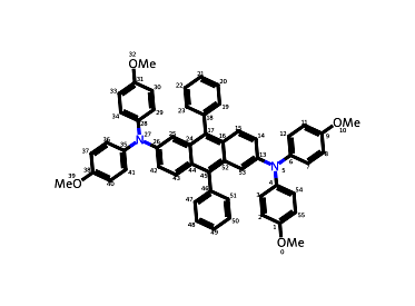 COc1ccc(N(c2ccc(OC)cc2)c2ccc3c(-c4ccccc4)c4cc(N(c5ccc(OC)cc5)c5ccc(OC)cc5)ccc4c(-c4ccccc4)c3c2)cc1